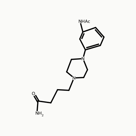 CC(=O)Nc1cccc(N2CCN(CCCC(N)=O)CC2)c1